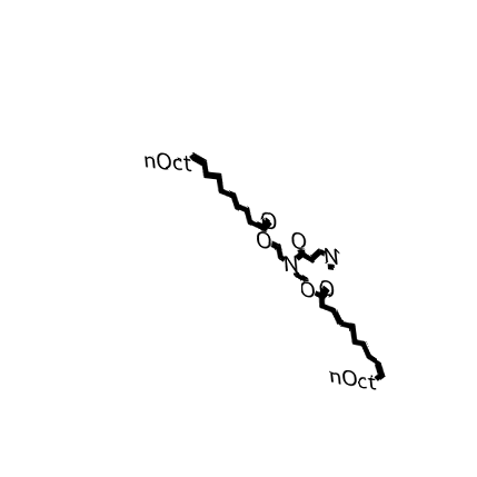 CCCCCCCC/C=C\CCCCCCCC(=O)OCCN(CCOC(=O)CCCCCCC/C=C\CCCCCCCC)C(=O)CCN(C)C